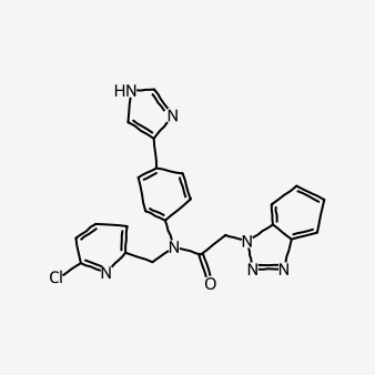 O=C(Cn1nnc2ccccc21)N(Cc1cccc(Cl)n1)c1ccc(-c2c[nH]cn2)cc1